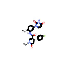 Cc1ccc(-n2ccc(=O)[nH]c2=O)cc1NC(=O)C1=CN(C)C(=O)C[C@H]1c1ccc(F)cc1